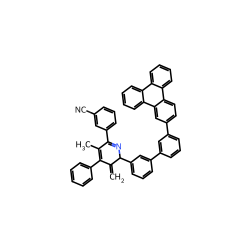 C=C1C(c2ccccc2)=C(C)C(c2cccc(C#N)c2)=NC1c1cccc(-c2cccc(-c3ccc4c5ccccc5c5ccccc5c4c3)c2)c1